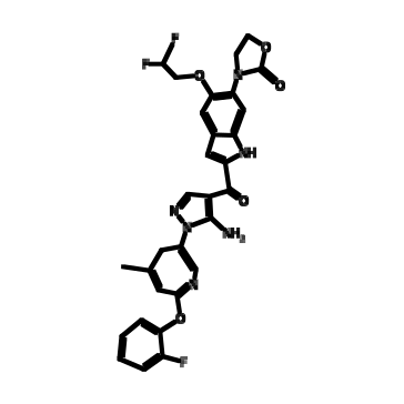 CC1=CC(Oc2ccccc2F)=NC=C(n2ncc(C(=O)c3cc4cc(OCC(F)F)c(N5CCOC5=O)cc4[nH]3)c2N)C1